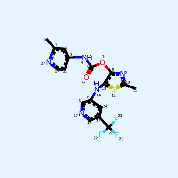 Cc1cc(NC(=O)Oc2nc(C)sc2Nc2cncc(C(F)(F)F)c2)ccn1